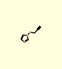 C#CCSn1ccnc1